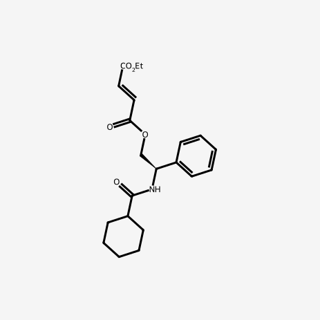 CCOC(=O)/C=C/C(=O)OC[C@H](NC(=O)C1CCCCC1)c1ccccc1